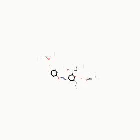 CCCc1cc(/C=C/C(=O)c2ccc(OCOC(=O)C(C)(C)C)cc2)c(OC(C)C)c(CCC)c1OCOC(=O)C(C)(C)C